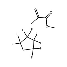 C=C(C)C(=O)OC.FC1(F)CC(F)(F)C(F)(F)C1(F)F